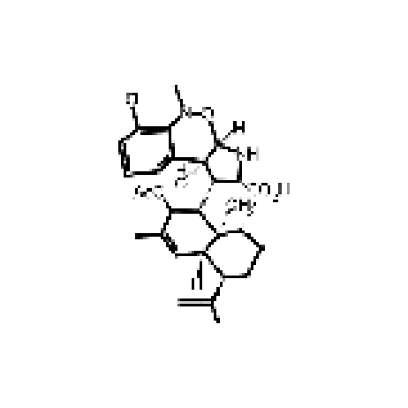 C=C(C)[C@@H]1CC[C@@H](C)[C@]2(O)C([C@H]3[C@@H](C(=O)O)N[C@@H]4ON(C)c5c(Cl)cccc5[C@@]43O)C(OC(C)=O)C(C)=C[C@@H]12